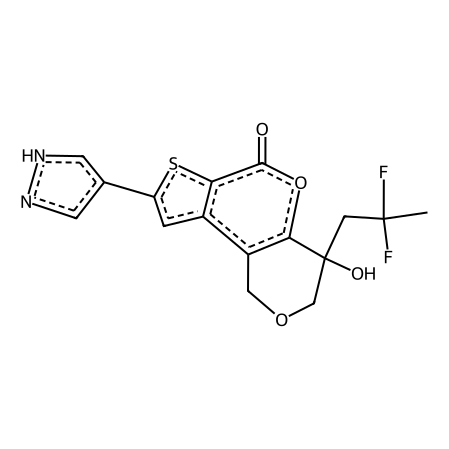 CC(F)(F)CC1(O)COCc2c1oc(=O)c1sc(-c3cn[nH]c3)cc21